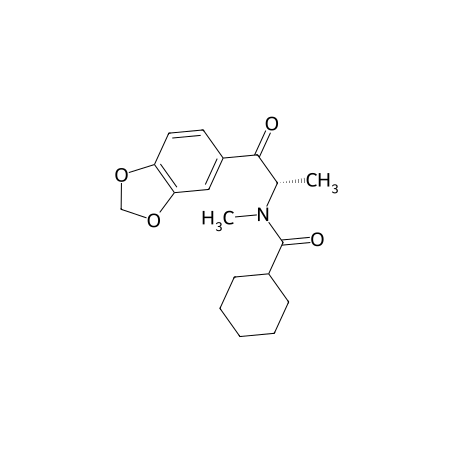 C[C@@H](C(=O)c1ccc2c(c1)OCO2)N(C)C(=O)C1CCCCC1